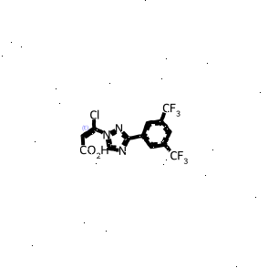 O=C(O)/C=C(/Cl)n1cnc(-c2cc(C(F)(F)F)cc(C(F)(F)F)c2)n1